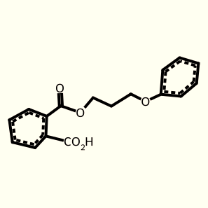 O=C(O)c1ccccc1C(=O)OCCCOc1ccccc1